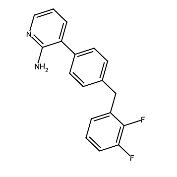 Nc1ncccc1-c1ccc(Cc2cccc(F)c2F)cc1